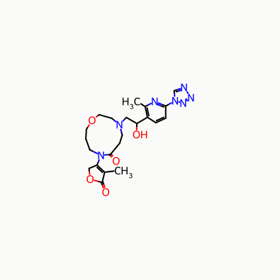 CC1=C(N2CCCOCCN(CC(O)c3ccc(-n4cnnn4)nc3C)CCC2=O)COC1=O